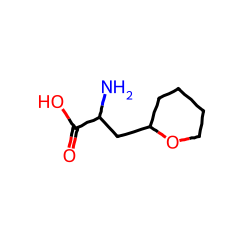 NC(CC1CCCCO1)C(=O)O